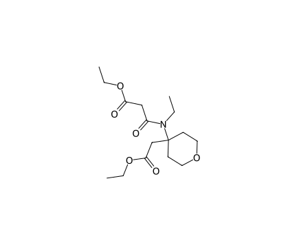 CCOC(=O)CC(=O)N(CC)C1(CC(=O)OCC)CCOCC1